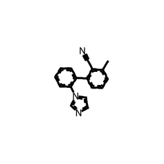 Cc1cccc(-c2ccccc2-n2ccnc2)c1C#N